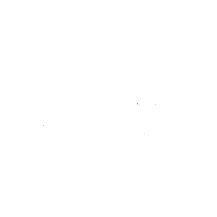 CCCCOC(=O)N1C2CCC1CN(c1cc(F)c(CCN)c(F)c1)C2